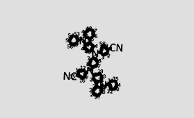 N#Cc1ccc(N(c2ccc(N(c3ccc(C#N)cc3)c3ccc4c(c3)c3ccccc3n4C3=CC=CCC3)cc2)c2ccc3c(c2)C2C=CC=CC2N3c2ccccc2)cc1